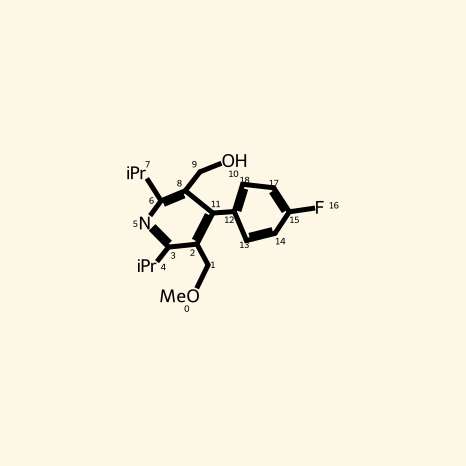 COCc1c(C(C)C)nc(C(C)C)c(CO)c1-c1ccc(F)cc1